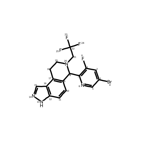 Fc1cc(Br)cnc1C1c2ccc3[nH]ncc3c2CCN1CC(F)(F)F